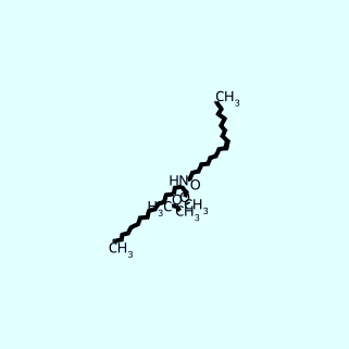 CCCCCCCC/C=C\CCCCCCCC(=O)NC(COC)CC(CCCCCCCCCCCCCC)OC(C)C